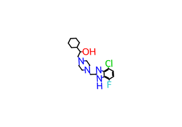 OC(CN1CCN(Cc2nc3c(Cl)ccc(F)c3[nH]2)CC1)C1CCCCC1